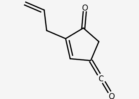 C=CCC1=CC(=C=O)CC1=O